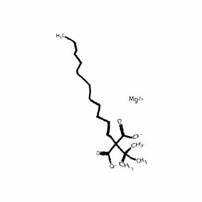 CCCCCCCCCCCC(C(=O)[O-])(C(=O)[O-])C(C)(C)C.[Mg+2]